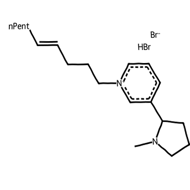 Br.CCCCCC=CCCC[n+]1cccc(C2CCCN2C)c1.[Br-]